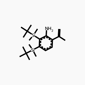 C=C(C)c1ccc([Si](C)(C)C(C)(C)C)c([Si](C)(C)C(C)(C)C)c1N